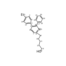 CCc1ccc(-c2ccc(CCCCCO)nc2-c2ccccc2)cc1